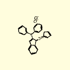 C1=CC[C]([Ti+2][CH]2C(P(c3ccccc3)c3ccccc3)=Cc3ccccc32)=C1.[Cl-].[Cl-]